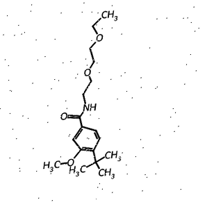 CCOCCOCCNC(=O)c1ccc(C(C)(C)C)c(OC)c1